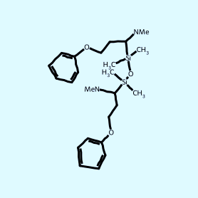 CNC(CCOc1ccccc1)[Si](C)(C)O[Si](C)(C)C(CCOc1ccccc1)NC